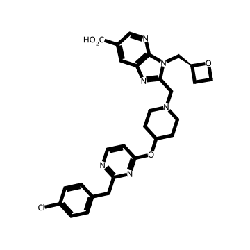 O=C(O)c1cnc2c(c1)nc(CN1CCC(Oc3ccnc(Cc4ccc(Cl)cc4)n3)CC1)n2C[C@@H]1CCO1